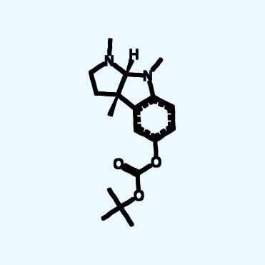 CN1CC[C@@]2(C)c3cc(OC(=O)OC(C)(C)C)ccc3N(C)[C@@H]12